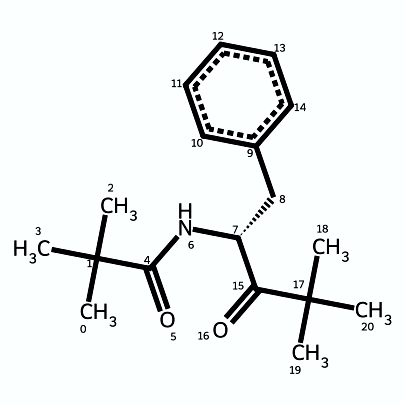 CC(C)(C)C(=O)N[C@H](Cc1ccccc1)C(=O)C(C)(C)C